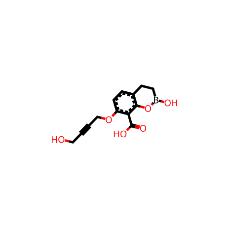 O=C(O)c1c(OCC#CCO)ccc2c1OB(O)CC2